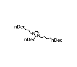 CCCCCCCCCCCCCCN1C=CN(CCCCCCCCCCCCC)C1CCCCCCCCCC